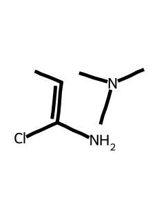 CC=C(N)Cl.CN(C)C